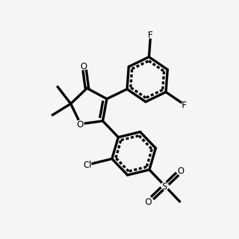 CC1(C)OC(c2ccc(S(C)(=O)=O)cc2Cl)=C(c2cc(F)cc(F)c2)C1=O